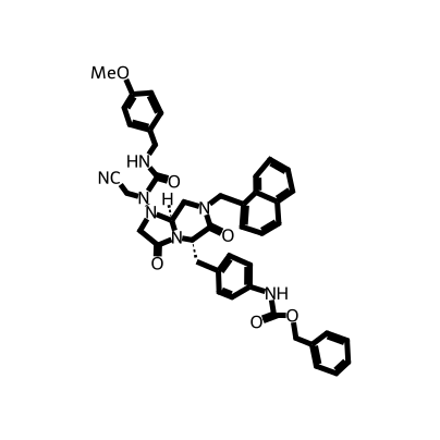 COc1ccc(CNC(=O)N(CC#N)N2CC(=O)N3[C@@H](Cc4ccc(NC(=O)OCc5ccccc5)cc4)C(=O)N(Cc4cccc5ccccc45)C[C@@H]32)cc1